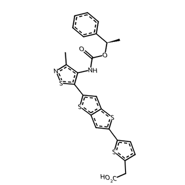 Cc1nsc(-c2cc3sc(-c4ccc(CC(=O)O)s4)cc3s2)c1NC(=O)O[C@H](C)c1ccccc1